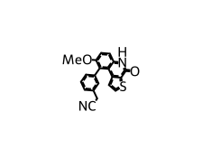 COc1ccc2[nH]c(=O)c3sccc3c2c1-c1cccc(CC#N)c1